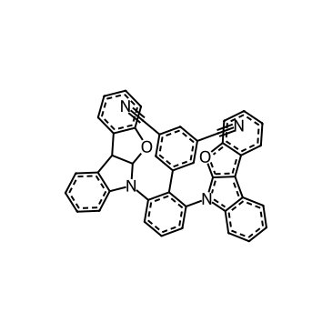 N#Cc1cc(C#N)cc(-c2c(N3c4ccccc4C4c5ccccc5OC43)cccc2-n2c3ccccc3c3c4ccccc4oc32)c1